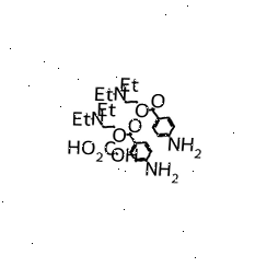 CCN(CC)CCOC(=O)c1ccc(N)cc1.CCN(CC)CCOC(=O)c1ccc(N)cc1.O=C(O)O